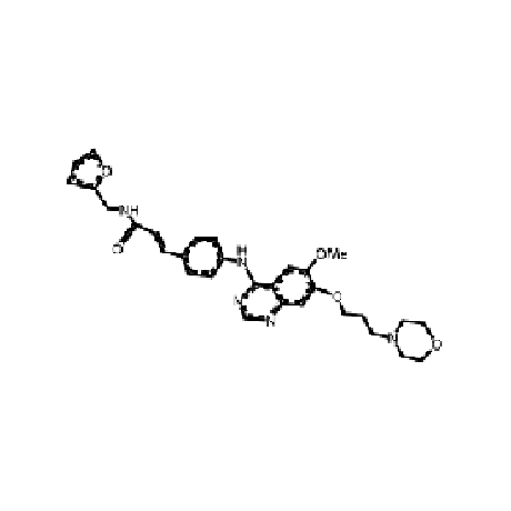 COc1cc2c(Nc3ccc(C=CC(=O)NCc4ccco4)cc3)ncnc2cc1OCCCN1CCOCC1